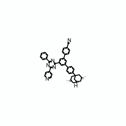 C[C@@H]1C[C@@H]2C[C@H](C)CC(c3ccc(-c4cc(-c5ccc(C#N)cc5)cc(-c5nc(-c6ccccc6)nc(-c6ccncc6)n5)c4)cc3)(C1)C2